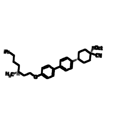 CCCCCCCC[C@]1(C#N)CC[C@H](c2ccc(-c3ccc(OCC[C@H](C)CCCC(C)C)cc3)cc2)CC1